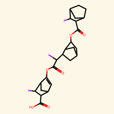 O=C(OC1=CC2CC1C(I)C2C(=O)O)C(I)C1CC2CC(OC(=O)C3C4CCC(C4)C3I)C1C2